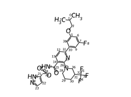 CC(C)COc1cc(F)cc(-c2ccc(C(=O)NS(=O)(=O)c3ccn[nH]3)c(N3CCCC(C(F)(F)F)C3)n2)c1